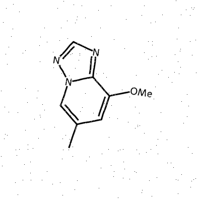 COc1cc(C)cn2ncnc12